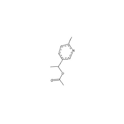 CC(=O)OC(C)c1ccc(C)nc1